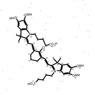 COc1cc2c(cc1OC)C(C)(C)/C(=C/C=C1\CCCC(/C=C/C3=[N+](CCCCC(=O)O)c4cc(OC)c(OC)cc4C3(C)C)=C1Cl)N2CCCCC(=O)O